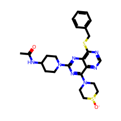 CC(=O)NC1CCN(c2nc(N3CC[S+]([O-])CC3)c3ncnc(SCc4ccccc4)c3n2)CC1